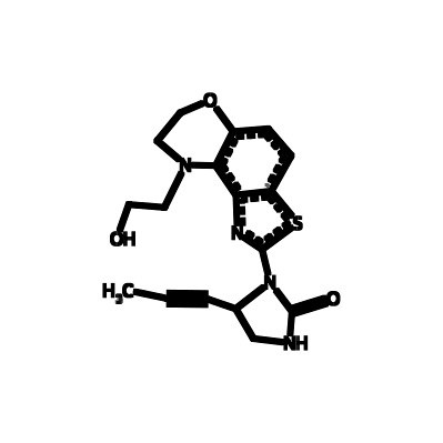 CC#CC1CNC(=O)N1c1nc2c3c(ccc2s1)OCCN3CCO